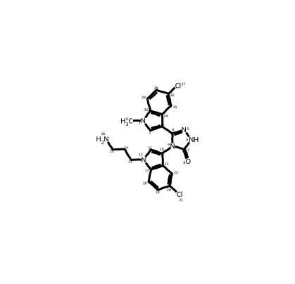 Cn1cc(-c2n[nH]c(=O)n2-c2cn(CCCN)c3ccc(Cl)cc23)c2cc(Cl)ccc21